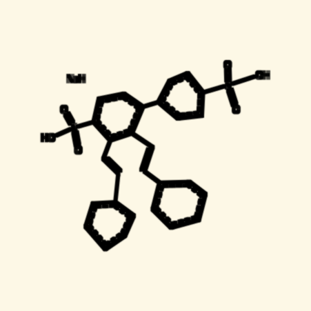 O=S(=O)(O)c1ccc(-c2ccc(S(=O)(=O)O)c(C=Cc3ccccc3)c2C=Cc2ccccc2)cc1.[NaH]